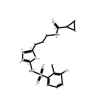 Cc1c(Cl)cccc1S(=O)(=O)Nc1nnc(CCCNC(=O)C2CC2)s1